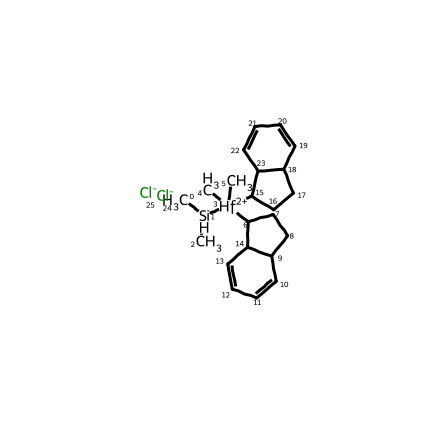 C[SiH](C)[Hf+2]([CH3])([CH3])([CH]1CCC2C=CC=CC21)[CH]1CCC2C=CC=CC21.[Cl-].[Cl-]